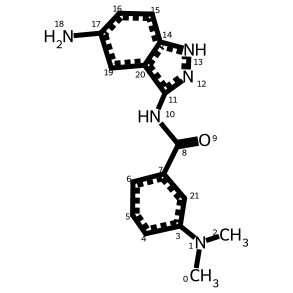 CN(C)c1cccc(C(=O)Nc2n[nH]c3ccc(N)cc23)c1